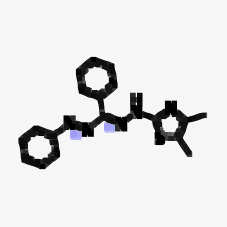 Cc1nc(N/N=C(/N=N/c2ccccc2)c2ccccc2)sc1C